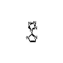 C1=CN=C(n2cnnn2)[N]1